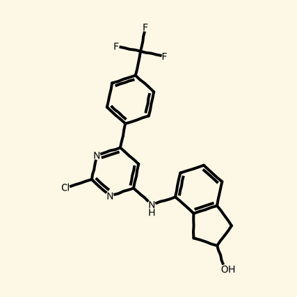 OC1Cc2cccc(Nc3cc(-c4ccc(C(F)(F)F)cc4)nc(Cl)n3)c2C1